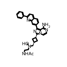 CC(=O)NCCN(O)C[C@H]1C[C@@H](c2nc(-c3ccc4ccc(-c5ccccc5)nc4c3)c3c(N)nccn32)C1